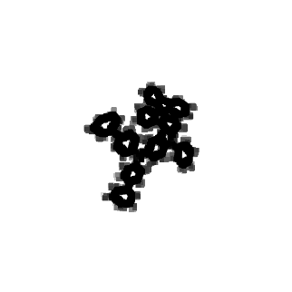 c1ccc(-c2ccc(N(c3ccc(-c4ccccc4)cc3)c3ccc4c(c3)c3cc(C5(c6ccccc6)c6ccccc6-c6ccccc65)ccc3n4-c3ccccc3)cc2)cc1